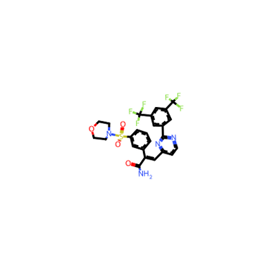 NC(=O)/C(=C/c1ccnc(-c2cc(C(F)(F)F)cc(C(F)(F)F)c2)n1)c1cccc(S(=O)(=O)N2CCOCC2)c1